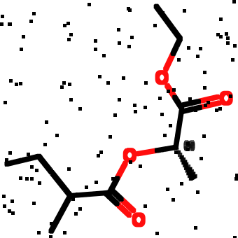 CCOC(=O)[C@H](C)OC(=O)C(C)CC